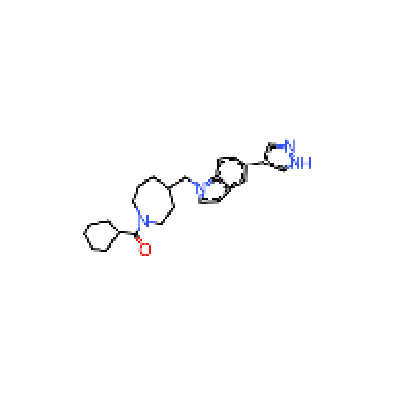 O=C(C1CCCCC1)N1CCCC(Cn2ccc3cc(-c4cn[nH]c4)ccc32)CC1